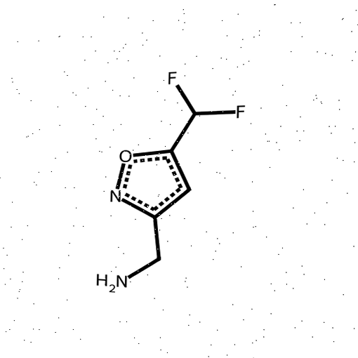 NCc1cc(C(F)F)on1